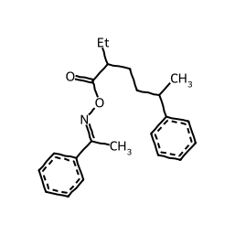 CCC(CCC(C)c1ccccc1)C(=O)ON=C(C)c1ccccc1